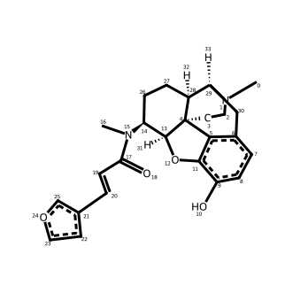 CN1CC[C@]23c4c5ccc(O)c4O[C@H]2[C@@H](N(C)C(=O)/C=C/c2ccoc2)CC[C@H]3[C@H]1C5